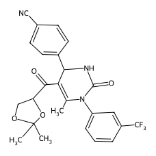 CC1=C(C(=O)C2COC(C)(C)O2)C(c2ccc(C#N)cc2)NC(=O)N1c1cccc(C(F)(F)F)c1